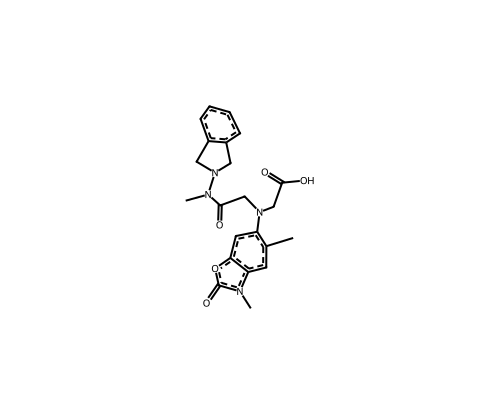 Cc1cc2c(cc1N(CC(=O)O)CC(=O)N(C)N1Cc3ccccc3C1)oc(=O)n2C